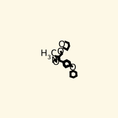 Cc1noc(-c2ccc(OC3CCCCC3)cc2)c1COC1CCCCO1